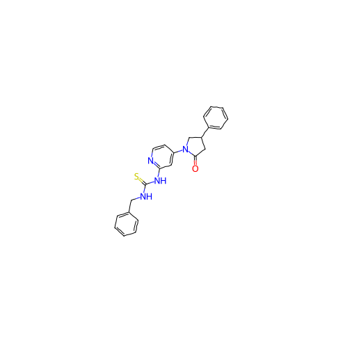 O=C1CC(c2ccccc2)CN1c1ccnc(NC(=S)NCc2ccccc2)c1